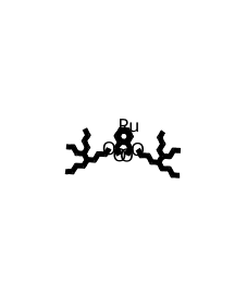 CCCCC(CCC)C(CCCC)CCCOC(=O)c1ccccc1C(=O)OCCCC(CCCC)C(CCC)CCCC.[Ru]